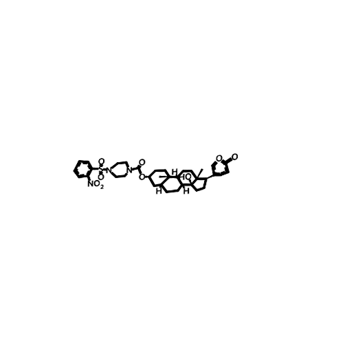 C[C@]12CC[C@H](OC(=O)N3CCN(S(=O)(=O)c4ccccc4[N+](=O)[O-])CC3)C[C@H]1CC[C@@H]1[C@@H]2CC[C@]2(C)[C@@H](c3ccc(=O)oc3)CC[C@]12O